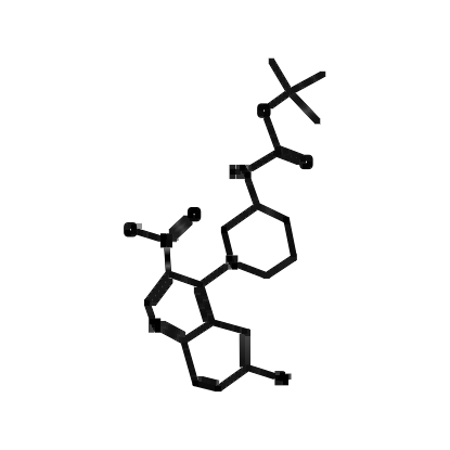 CC(C)(C)OC(=O)NC1CCCN(c2c([N+](=O)[O-])cnc3ccc(Br)cc23)C1